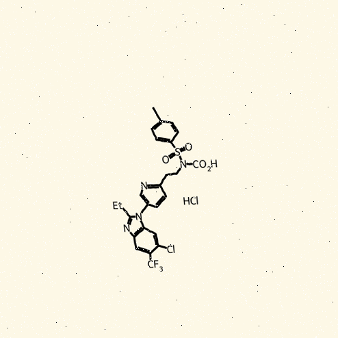 CCc1nc2cc(C(F)(F)F)c(Cl)cc2n1-c1ccc(CCN(C(=O)O)S(=O)(=O)c2ccc(C)cc2)nc1.Cl